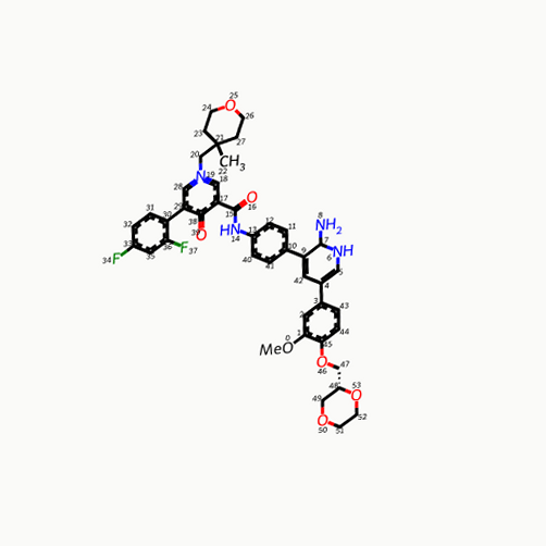 COc1cc(C2=CNC(N)C(c3ccc(NC(=O)c4cn(CC5(C)CCOCC5)cc(-c5ccc(F)cc5F)c4=O)cc3)=C2)ccc1OC[C@H]1COCCO1